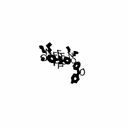 C=CCN(CC=C)c1cc(C(c2ccc(Oc3ccc(C(=O)c4ccc(C)cc4)cc3)c(N(CC=C)CC=C)c2)(C(F)(F)F)C(F)(F)F)ccc1OC